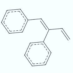 C=CC(=Cc1ccccc1)c1ccccc1